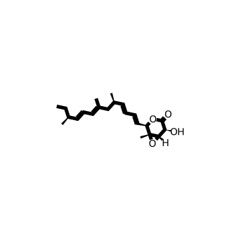 CC[C@H](C)/C=C/C=C(\C)C[C@@H](C)/C=C/C=C/[C@H]1OC(=O)[C@H](O)[C@@H]2O[C@]12C